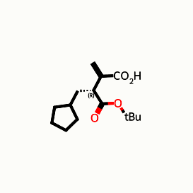 C=C(C(=O)O)[C@@H](CC1CCCC1)C(=O)OC(C)(C)C